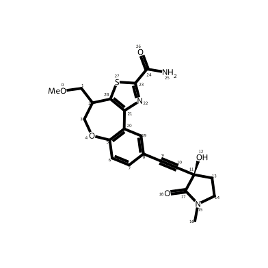 COCC1COc2ccc(C#C[C@]3(O)CCN(C)C3=O)cc2-c2nc(C(N)=O)sc21